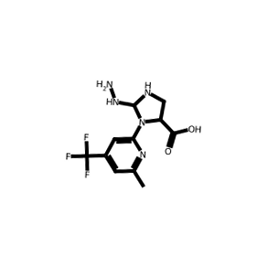 Cc1cc(C(F)(F)F)cc(N2C(NN)NCC2C(=O)O)n1